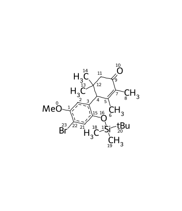 COc1cc(C2C(C)=C(C)C(=O)CC2(C)C)c(O[Si](C)(C)C(C)(C)C)cc1Br